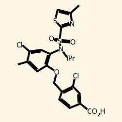 Cc1csc(S(=O)(=O)N(c2cc(Cl)c(C)cc2OCc2ccc(C(=O)O)cc2Cl)C(C)C)n1